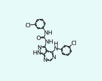 O=C(Nc1cccc(Cl)c1)Nc1n[nH]c2ncnc(Nc3cccc(Cl)c3)c12